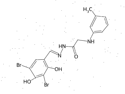 Cc1cccc(NCC(=O)NN=Cc2cc(Br)c(O)c(Br)c2O)c1